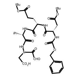 CC(C)[C@H](NC(=O)[C@H](CCC(=O)OC(C)(C)C)NC(=O)[C@H](CC(=O)OC(C)(C)C)NC(=O)OCc1ccccc1)C(=O)NN(CC(=O)O)C(=O)C=O